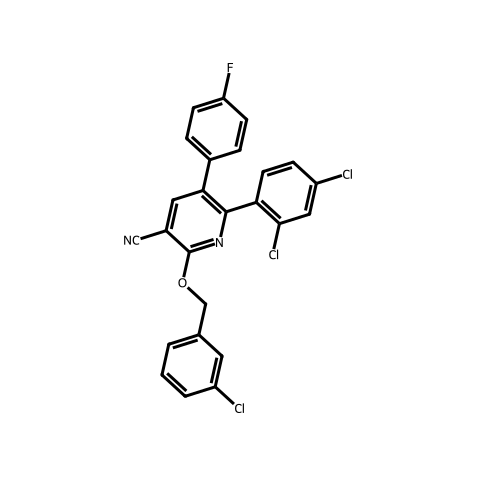 N#Cc1cc(-c2ccc(F)cc2)c(-c2ccc(Cl)cc2Cl)nc1OCc1cccc(Cl)c1